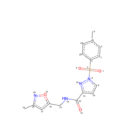 Cc1ccc(S(=O)(=O)n2ccc(C(=O)NCc3cc(C)no3)n2)cc1